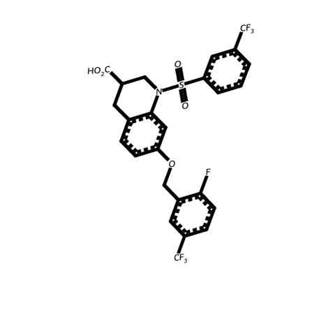 O=C(O)C1Cc2ccc(OCc3cc(C(F)(F)F)ccc3F)cc2N(S(=O)(=O)c2cccc(C(F)(F)F)c2)C1